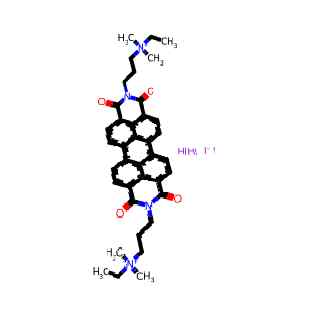 CC[N+](C)(C)CCCN1C(=O)c2ccc3c4ccc5c6c(ccc(c7ccc(c2c37)C1=O)c64)C(=O)N(CCC[N+](C)(C)CC)C5=O.I.I.[I-].[I-]